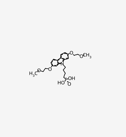 COCCOc1ccc2c3ccc(OCCOC)cc3n(CCCCP(=O)(O)O)c2c1